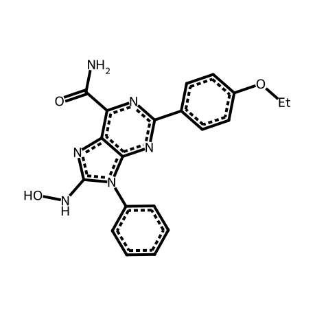 CCOc1ccc(-c2nc(C(N)=O)c3nc(NO)n(-c4ccccc4)c3n2)cc1